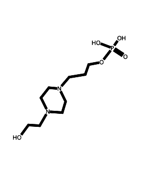 O=P(O)(O)OCCCN1CCN(CCO)CC1